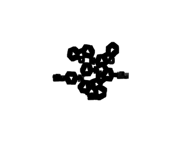 CC(C)(C)c1ccc(N(c2ccc(C(C)(C)C)cc2)c2ccc3c(c2)B2c4c(cc5c(oc6ccccc65)c4-c4cc(C(C)(C)C)cc5c6c7ccccc7ccc6n2c45)N3c2cccc3c2oc2ccccc23)cc1